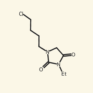 CCN1C(=O)CN(CCCCCl)C1=O